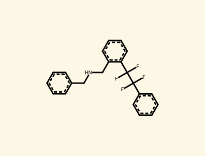 FC(F)(c1ccccc1)C(F)(F)c1ccccc1CNCc1ccccc1